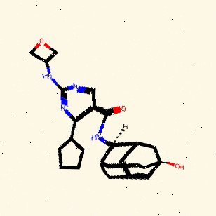 O=C(N[C@H]1C2CC3CC1C[C@@](O)(C3)C2)c1cnc(NC2COC2)nc1C1CCCC1